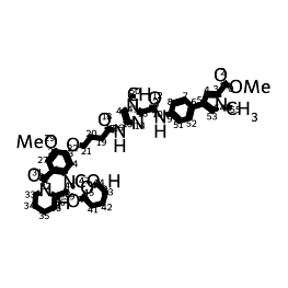 COC(=O)c1cc(-c2ccc(NC(=O)c3nc(NC(=O)CCCOc4cc5c(cc4OC)C(=O)N4CCCC[C@H]4[C@H](OC4CCCCO4)N5C(=O)O)cn3C)cc2)cn1C